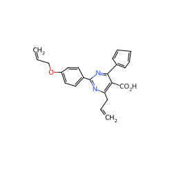 C=CCOc1ccc(-c2nc(CC=C)c(C(=O)O)c(-c3ccccc3)n2)cc1